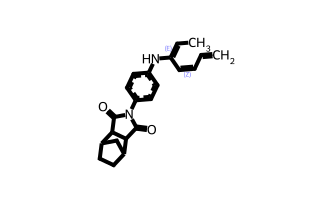 C=C/C=C\C(=C/C)Nc1ccc(N2C(=O)C3C4CCC(C4)C3C2=O)cc1